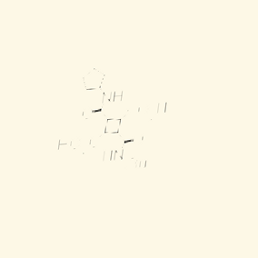 CC(C)(C)NC(=O)C1C(C(=O)O)C(C(=O)NC2CCCC2)C1C(=O)O